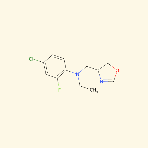 CCN(CC1CO[C]=N1)c1ccc(Cl)cc1F